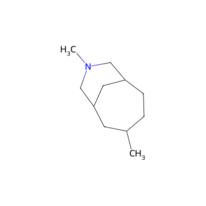 CC1CCC2CC(C1)CN(C)C2